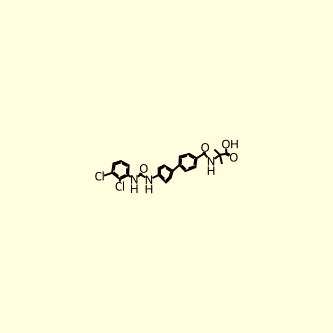 CC(C)(NC(=O)c1ccc(-c2ccc(NC(=O)Nc3cccc(Cl)c3Cl)cc2)cc1)C(=O)O